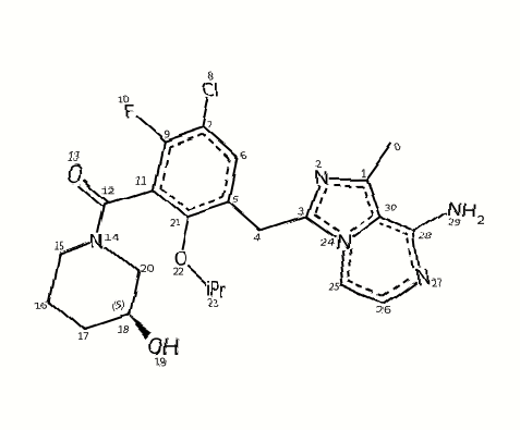 Cc1nc(Cc2cc(Cl)c(F)c(C(=O)N3CCC[C@H](O)C3)c2OC(C)C)n2ccnc(N)c12